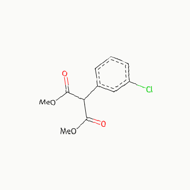 COC(=O)C(C(=O)OC)c1cccc(Cl)c1